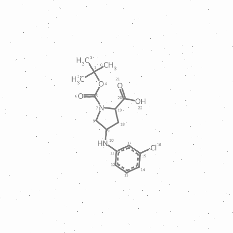 CC(C)(C)OC(=O)N1CC(Nc2cccc(Cl)c2)CC1C(=O)O